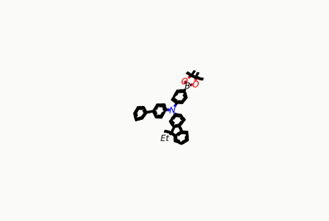 CCC1(C)c2ccccc2-c2ccc(N(c3ccc(B4OC(C)(C)C(C)(C)O4)cc3)c3ccc(-c4ccccc4)cc3)cc21